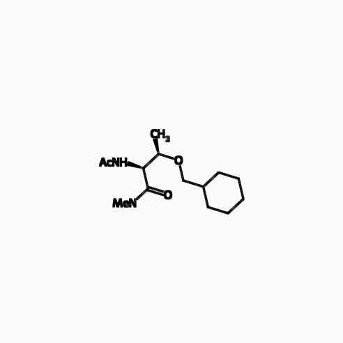 CNC(=O)[C@@H](NC(C)=O)[C@@H](C)OCC1CCCCC1